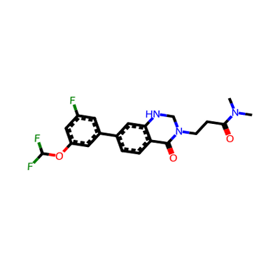 CN(C)C(=O)CCN1CNc2cc(-c3cc(F)cc(OC(F)F)c3)ccc2C1=O